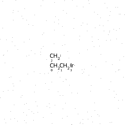 [CH2].[CH2].[CH2].[Ir]